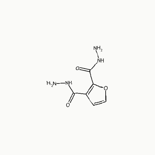 NNC(=O)c1ccoc1C(=O)NN